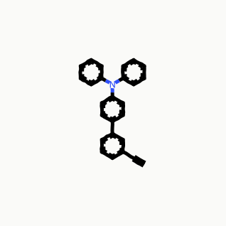 C#Cc1cccc(-c2ccc(N(c3ccccc3)c3ccccc3)cc2)c1